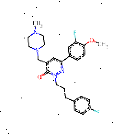 COc1ccc(-c2cc(CN3CCN(C)CC3)c(=O)n(CCCc3ccc(F)cc3)n2)cc1F